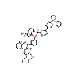 C=C/C=C\CC(CCC)/N=C(\NC(N)C1=CCCC(/C(=C/C(C)(c2ccccc2)c2cccc(-c3ccc4c(c3)-c3ccccc3C43CCCCC3)c2)NCN)=C1)c1ccccc1